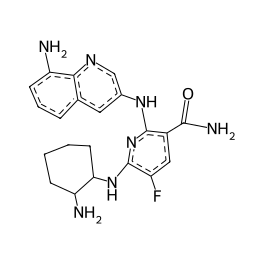 NC(=O)c1cc(F)c(NC2CCCCC2N)nc1Nc1cnc2c(N)cccc2c1